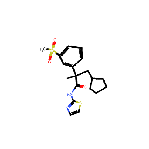 CC(CC1CCCC1)(C(=O)Nc1nccs1)c1cccc(S(=O)(=O)C(F)(F)F)c1